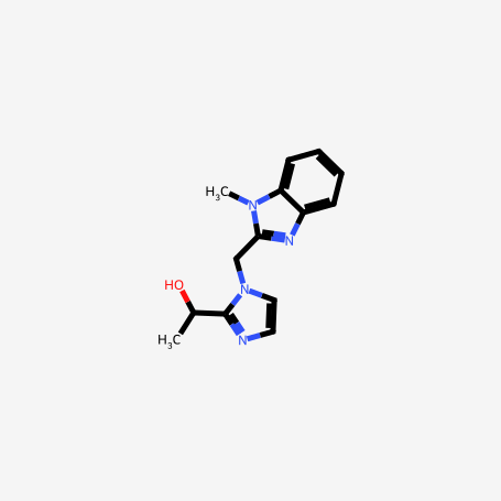 CC(O)c1nccn1Cc1nc2ccccc2n1C